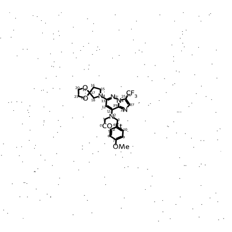 CCOC(=O)CN(Cc1ccc(OC)cc1)c1cc(N2CCC3(C2)OCCO3)nn2c(C(F)(F)F)cnc12